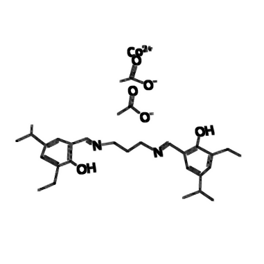 CC(=O)[O-].CC(=O)[O-].CCc1cc(C(C)C)cc(C=NCCCN=Cc2cc(C(C)C)cc(CC)c2O)c1O.[Co+2]